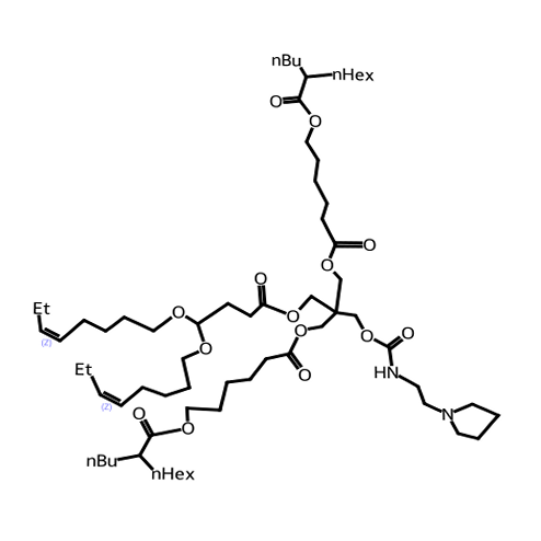 CC/C=C\CCCCOC(CCC(=O)OCC(COC(=O)CCCCCOC(=O)C(CCCC)CCCCCC)(COC(=O)CCCCCOC(=O)C(CCCC)CCCCCC)COC(=O)NCCN1CCCC1)OCCCC/C=C\CC